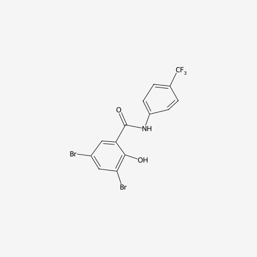 O=C(Nc1ccc(C(F)(F)F)cc1)c1cc(Br)cc(Br)c1O